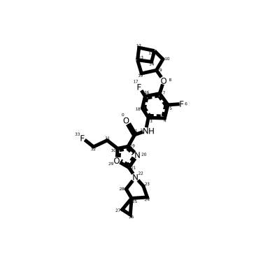 O=C(Nc1cc(F)c(OC2CC3CC(C3)C2)c(F)c1)c1nc(N2CCC3(CC3)C2)oc1CCF